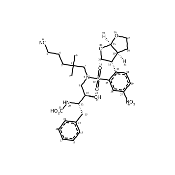 CC(C)(CCCC#N)CN(C[C@@H](O)[C@H](Cc1ccccc1)NC(=O)O)S(=O)(=O)c1cc([N+](=O)[O-])ccc1[C@@H]1CO[C@H]2OCC[C@H]21